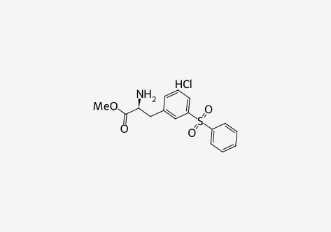 COC(=O)[C@@H](N)Cc1cccc(S(=O)(=O)c2ccccc2)c1.Cl